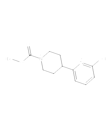 CC(C)(C)OC(=O)N1CCC(c2cccc(O)n2)CC1